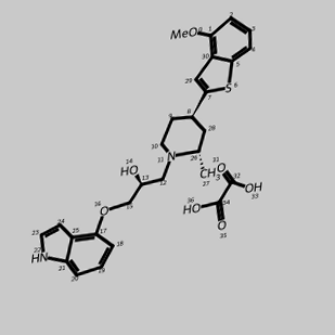 COc1cccc2sc([C@@H]3CCN(C[C@H](O)COc4cccc5[nH]ccc45)[C@@H](C)C3)cc12.O=C(O)C(=O)O